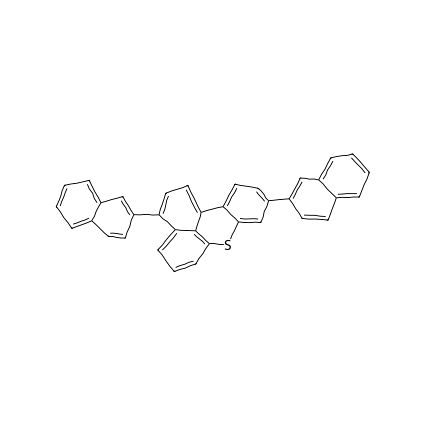 c1ccc2cc(-c3ccc4c(c3)Sc3cccc5c(-c6ccc7ccccc7c6)ccc-4c35)ccc2c1